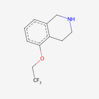 FC(F)(F)COc1cccc2c1CCNC2